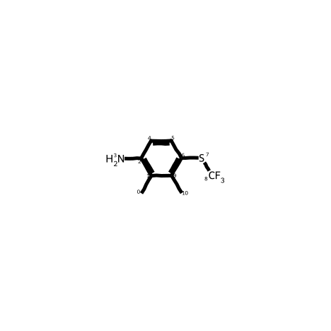 Cc1c(N)ccc(SC(F)(F)F)c1C